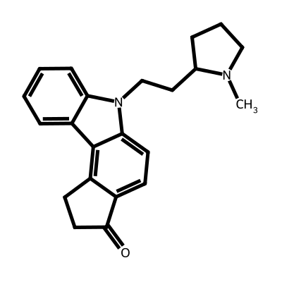 CN1CCCC1CCn1c2ccccc2c2c3c(ccc21)C(=O)CC3